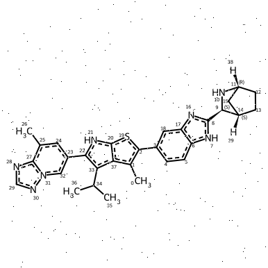 Cc1c(-c2ccc3[nH]c([C@H]4N[C@@H]5CC[C@H]4C5)nc3c2)sc2[nH]c(-c3cc(C)c4ncnn4c3)c(C(C)C)c12